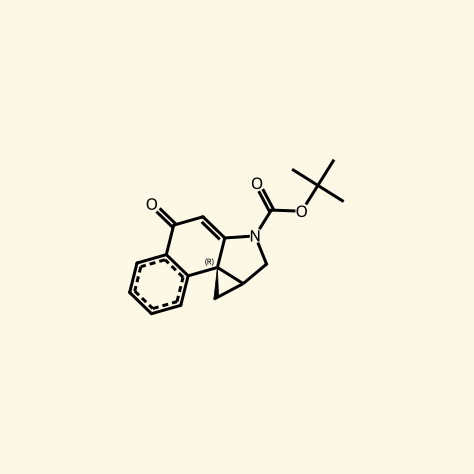 CC(C)(C)OC(=O)N1CC2C[C@@]23C1=CC(=O)c1ccccc13